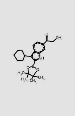 CC1(C)OB(c2[nH]c3cc(C(=O)CO)ccc3c2C2CCCCC2)OC1(C)C